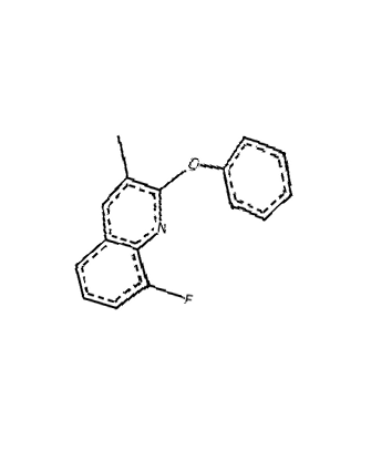 Cc1cc2cccc(F)c2nc1Oc1ccccc1